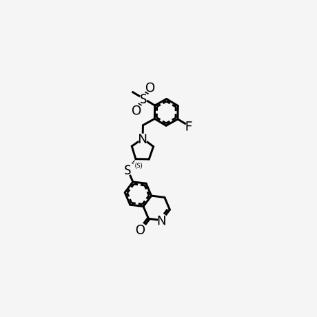 CS(=O)(=O)c1ccc(F)cc1CN1CC[C@H](Sc2ccc3c(c2)CC=NC3=O)C1